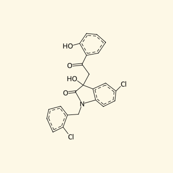 O=C(CC1(O)C(=O)N(Cc2ccccc2Cl)c2ccc(Cl)cc21)c1ccccc1O